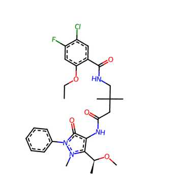 CCOc1cc(F)c(Cl)cc1C(=O)NCC(C)(C)CC(=O)Nc1c([C@H](C)OC)n(C)n(-c2ccccc2)c1=O